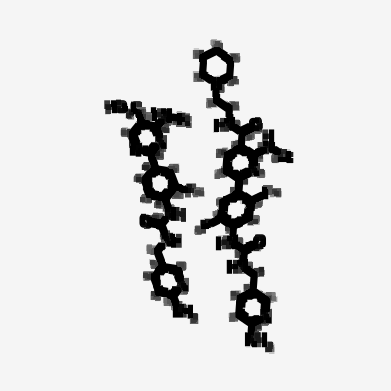 CCNc1nc(-c2cc(F)c(NC(=O)NCc3ccc(N)nc3)cc2F)ccc1C(=O)NCCN1CCCCC1.CCNc1nc(-c2ccc(NC(=O)NCc3ccc(N)nc3)c(F)c2)ncc1C(=O)O